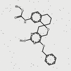 CSc1nc2c(c(OCc3ccccc3)n1)COC1(CCCc3ccc(NC(=O)OC(C)(C)C)cc31)C2